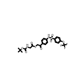 CC(C)(C)OC(=O)NCC(=O)SCC(=O)c1ccc(NS(=O)(=O)c2ccc(OC(F)(F)F)cc2)cc1